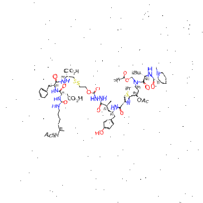 CCCC(=O)OCN(C(=O)[C@@H](NC(=O)[C@H]1CCCCN1C)C(C)CC)[C@H](C[C@@H](OC(C)=O)c1nc(C(=O)N[C@@H](Cc2ccc(O)cc2)C[C@H](C)C(=O)NNC(=O)OCCSSC[C@H](NC(=O)[C@H](Cc2ccccc2)NC(=O)[C@H](CC(=O)O)NC(=O)NCCCC[C@@H](C)NC(C)=O)C(=O)O)cs1)C(C)C